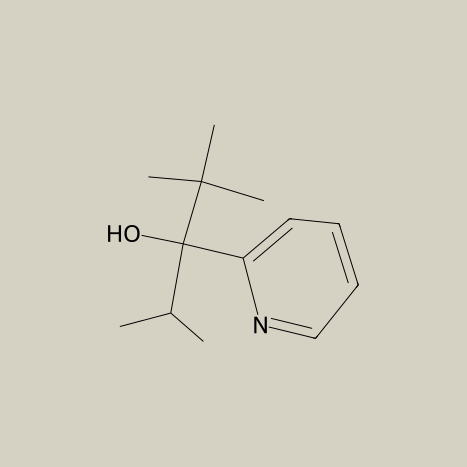 CC(C)C(O)(c1ccccn1)C(C)(C)C